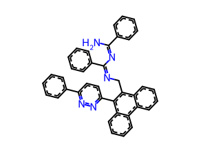 N/C(=N\C(=N/Cc1c(-c2ccc(-c3ccccc3)nn2)c2ccccc2c2ccccc12)c1ccccc1)c1ccccc1